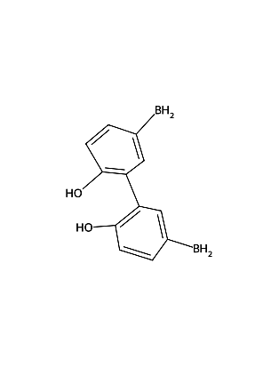 Bc1ccc(O)c(-c2cc(B)ccc2O)c1